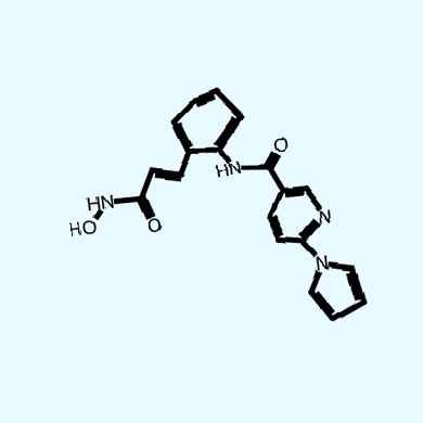 O=C(C=Cc1ccccc1NC(=O)c1ccc(-n2cccc2)nc1)NO